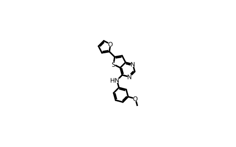 COc1cccc(Nc2ncnc3cc(-c4ccco4)sc23)c1